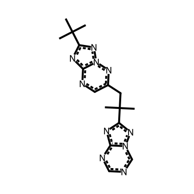 CC(C)(C)c1nc2ncc(CC(C)(C)c3nc4ncncn4n3)nn2n1